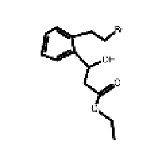 CCOC(=O)CC(O)c1ccccc1CCBr